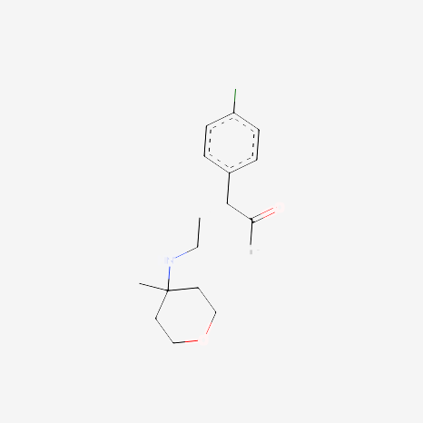 CC(C)C(=O)[C@H](CCNC1(C)CCOCC1)c1ccc(Cl)cc1